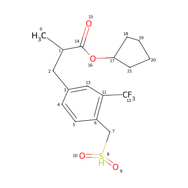 CC(Cc1ccc(C[SH](=O)=O)c(C(F)(F)F)c1)C(=O)OC1CCCC1